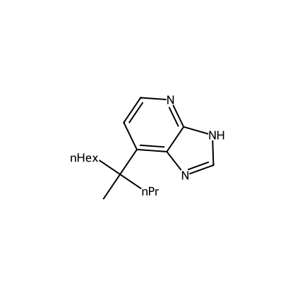 CCCCCCC(C)(CCC)c1ccnc2[nH]cnc12